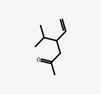 C=CC(CC(C)=O)C(C)C